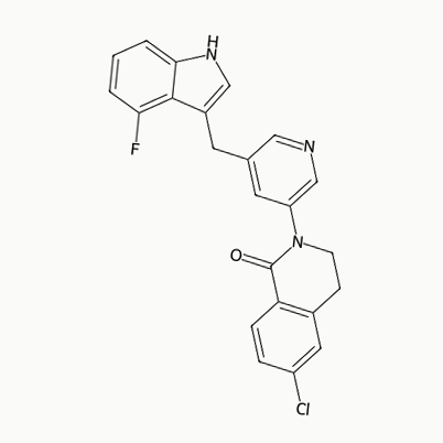 O=C1c2ccc(Cl)cc2CCN1c1cncc(Cc2c[nH]c3cccc(F)c23)c1